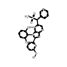 CCOc1cccc(-c2nc3ncc(C(c4cccnc4)S(N)(=O)=O)nc3n2-c2c(OC)cccc2OC)n1